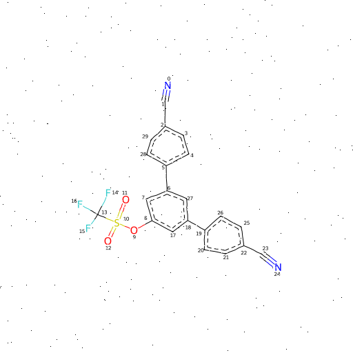 N#Cc1ccc(-c2cc(OS(=O)(=O)C(F)(F)F)cc(-c3ccc(C#N)cc3)c2)cc1